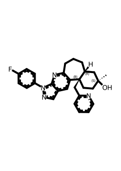 C[C@]1(O)CC[C@]2(Cc3ccccn3)c3cc4cnn(-c5ccc(F)cc5)c4nc3CCC[C@@H]2C1